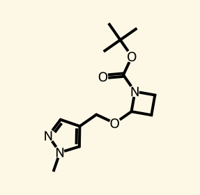 Cn1cc(COC2CCN2C(=O)OC(C)(C)C)cn1